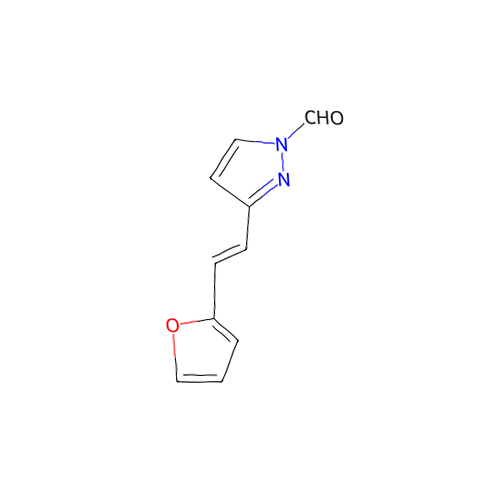 O=Cn1ccc(C=Cc2ccco2)n1